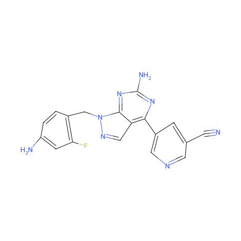 N#Cc1cncc(-c2nc(N)nc3c2cnn3Cc2ccc(N)cc2F)c1